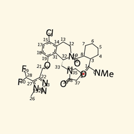 CNC(=O)C1CCCCC1C(=O)N1CCc2c(Cl)ccc(OCc3nnn(C)c3C(F)F)c2[C@H]1CN1CCCC1=O